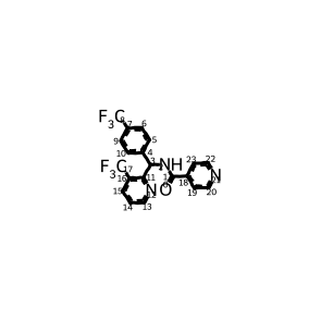 O=C(NC(c1ccc(C(F)(F)F)cc1)c1ncccc1C(F)(F)F)c1ccncc1